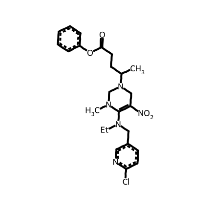 CCN(Cc1ccc(Cl)nc1)C1=C([N+](=O)[O-])CN(C(C)CCC(=O)Oc2ccccc2)CN1C